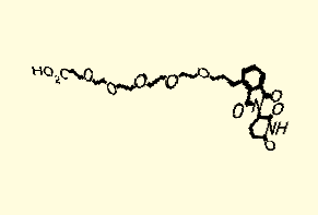 O=C(O)CCOCCOCCOCCOCCOCCCc1cccc2c1C(=O)N(C1CCC(=O)NC1=O)C2=O